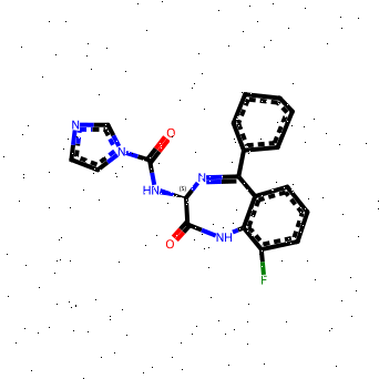 O=C1Nc2c(F)cccc2C(c2ccccc2)=N[C@@H]1NC(=O)n1ccnc1